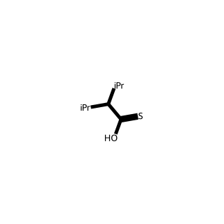 CC(C)C(C(O)=S)C(C)C